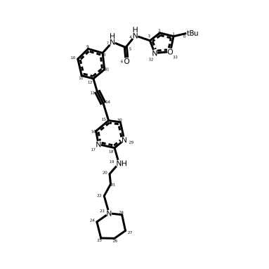 CC(C)(C)c1cc(NC(=O)Nc2cccc(C#Cc3cnc(NCCCN4CCCCC4)nc3)c2)no1